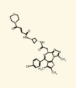 Cc1sc2c(c1C)C(c1ccc(Cl)cc1)=N[C@@H](CC(=O)N[C@H]1C[C@H](NC(=O)/C=C/C(=O)N3CCOCC3)C1)c1nnc(C)n1-2